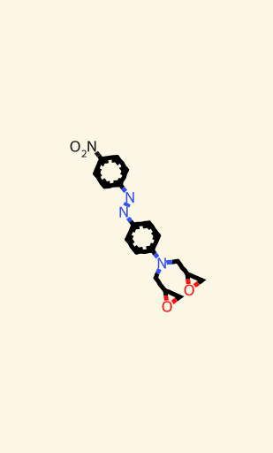 O=[N+]([O-])c1ccc(N=Nc2ccc(N(CC3CO3)CC3CO3)cc2)cc1